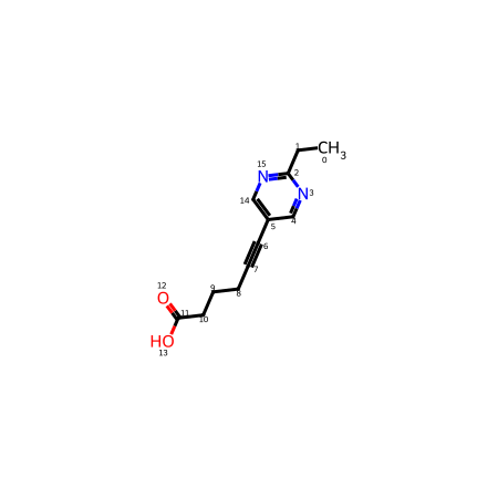 CCc1ncc(C#CCCCC(=O)O)cn1